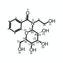 O=C(c1ccccc1)N(CCO)[C@@H]1O[C@H](CO)[C@H](O)[C@H](O)[C@H]1O